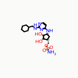 NS(=O)(=O)OC[C@H]1C[C@@H](Nc2ccnc(NCC3CCCCC3)n2)[C@H](O)[C@@H]1O